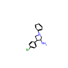 NC1CN(c2ccccc2)CC1c1ccc(Br)cc1